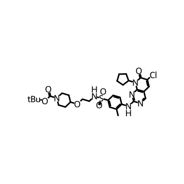 Cc1cc(S(=O)(=O)NCCOC2CCN(C(=O)OC(C)(C)C)CC2)ccc1Nc1ncc2cc(Cl)c(=O)n(C3CCCC3)c2n1